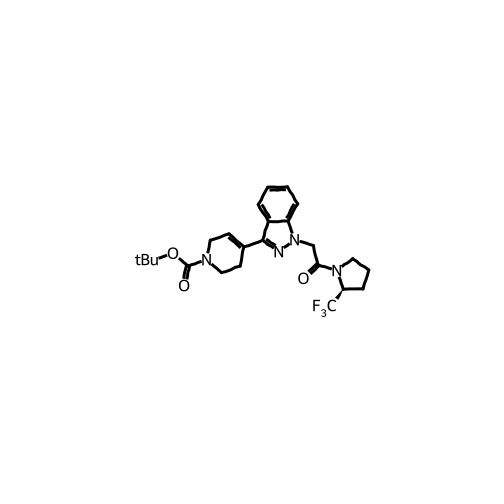 CC(C)(C)OC(=O)N1CC=C(c2nn(CC(=O)N3CCC[C@H]3C(F)(F)F)c3ccccc23)CC1